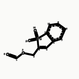 O=[C]OCC1=Cc2ccccc2S1(=O)=O